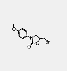 COc1ccc(N2CC(CBr)OC2=O)cc1